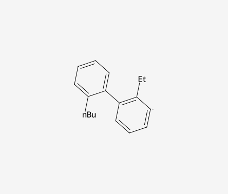 CCCCc1ccccc1-c1ccc[c]c1CC